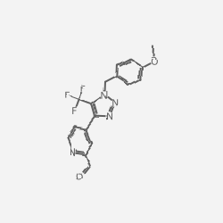 COc1ccc(Cn2nnc(-c3ccnc(C=O)c3)c2C(F)(F)F)cc1